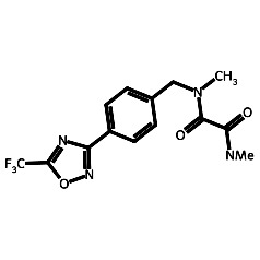 CNC(=O)C(=O)N(C)Cc1ccc(-c2noc(C(F)(F)F)n2)cc1